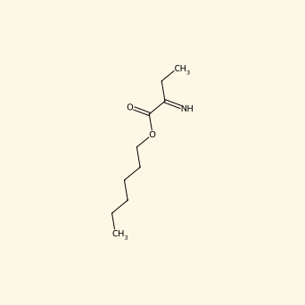 CCCCCCOC(=O)C(=N)CC